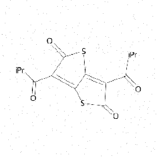 CC(C)C(=O)C1=C2SC(=O)C(C(=O)C(C)C)=C2SC1=O